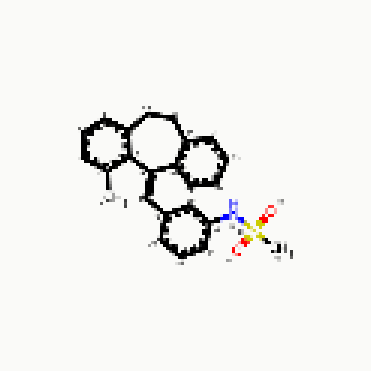 Cc1cccc2c1C(=Cc1cccc(NS(C)(=O)=O)c1)c1ccccc1CC2